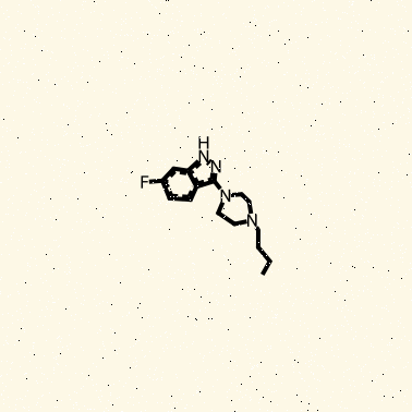 CCCCN1CCN(c2n[nH]c3cc(F)ccc23)CC1